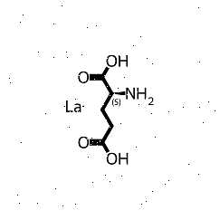 N[C@@H](CCC(=O)O)C(=O)O.[La]